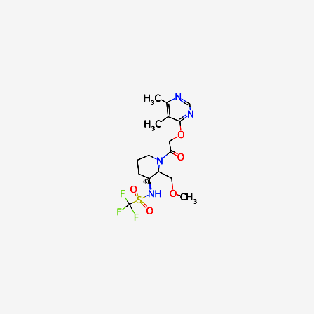 COCC1[C@@H](NS(=O)(=O)C(F)(F)F)CCCN1C(=O)COc1ncnc(C)c1C